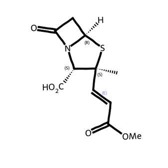 COC(=O)/C=C/[C@]1(C)S[C@@H]2CC(=O)N2[C@H]1C(=O)O